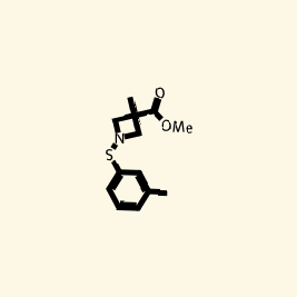 COC(=O)C1(C)CN(Sc2cccc(C)c2)C1